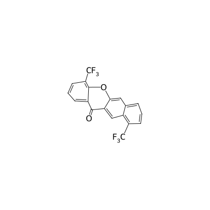 O=c1c2cc3c(C(F)(F)F)cccc3cc2oc2c(C(F)(F)F)cccc12